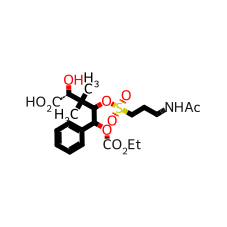 CCOC(=O)OC(c1ccccc1)C(OS(=O)(=O)CCCNC(C)=O)C(C)(C)[C@@H](O)C(=O)O